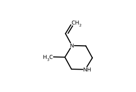 C=CN1CCNCC1C